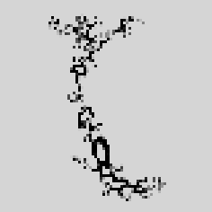 CCc1c2c(nc3ccc(OC(=O)N4CCN(C(=O)OCc5ccc(NC(=O)[C@H](CCCNC(N)=O)NC(=O)[C@@H](NC(C)C)C(C)C)cc5)CC4)cc13)-c1cc3c(c(=O)n1C2)COC(=O)[C@]3(O)CC